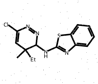 CCC1(C)C=C(Cl)N=NC1Nc1nc2ccccc2s1